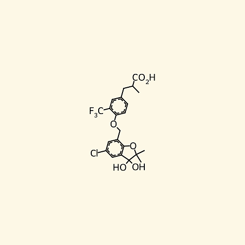 CC(Cc1ccc(OCc2cc(Cl)cc3c2OC(C)(C)C3(O)O)c(C(F)(F)F)c1)C(=O)O